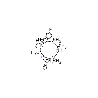 C=C1CN(C)CC(C)(c2ccc(F)cc2)C(=C)N2CCCCC2C(=C)/C=C2/N=C(N3CCC3)C=C(N(C)CCN1)N2C